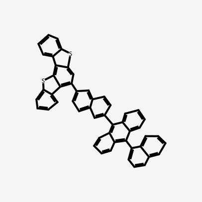 c1ccc2c(-c3c4ccccc4c(-c4ccc5cc(-c6cc7sc8ccccc8c7c7sc8ccccc8c67)ccc5c4)c4ccccc34)cccc2c1